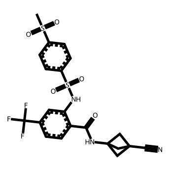 CS(=O)(=O)c1ccc(S(=O)(=O)Nc2cc(C(F)(F)F)ccc2C(=O)NC23CC(C#N)(C2)C3)cc1